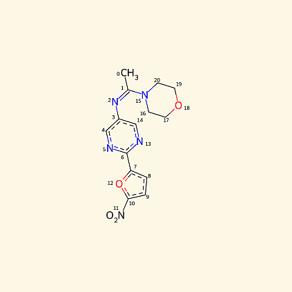 CC(=Nc1cnc(-c2ccc([N+](=O)[O-])o2)nc1)N1CCOCC1